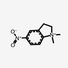 C[N+]1(C)CCc2cc([N+](=O)[O-])ccc21